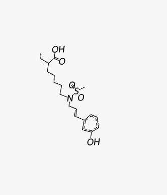 CCC(CCCCCN(CC=Cc1cccc(O)c1)S(C)(=O)=O)C(=O)O